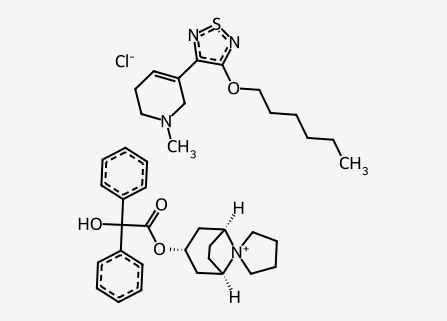 CCCCCCOc1nsnc1C1=CCCN(C)C1.O=C(O[C@H]1C[C@H]2CC[C@@H](C1)[N+]21CCCC1)C(O)(c1ccccc1)c1ccccc1.[Cl-]